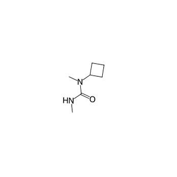 CNC(=O)N(C)C1CCC1